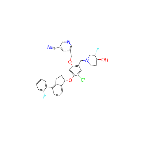 N#Cc1cncc(COc2cc(O[C@H]3CCc4c(-c5ccccc5F)cccc43)c(Cl)cc2CN2CC[C@H](O)[C@@H](F)C2)c1